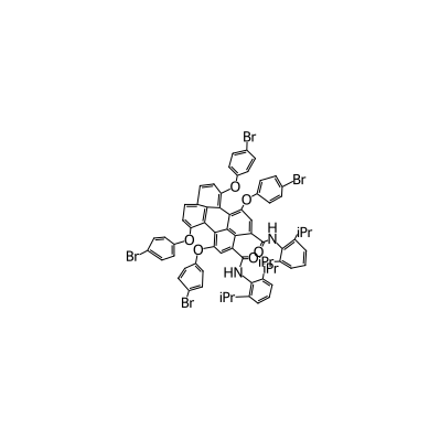 CC(C)c1cccc(C(C)C)c1NC(=O)c1cc(Oc2ccc(Br)cc2)c2c3c(Oc4ccc(Br)cc4)ccc4ccc(Oc5ccc(Br)cc5)c(c5c(Oc6ccc(Br)cc6)cc(C(=O)Nc6c(C(C)C)cccc6C(C)C)c1c25)c43